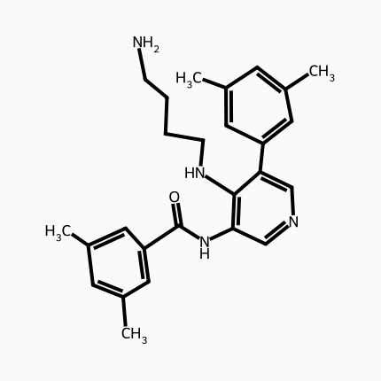 Cc1cc(C)cc(C(=O)Nc2cncc(-c3cc(C)cc(C)c3)c2NCCCCN)c1